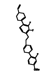 C=CC1CC=C(c2ccc(CCC3=CCC(c4ccc(OC)cc4F)C=C3)c(F)c2F)CC1